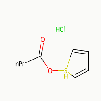 CCCC(=O)O[SH]1C=CC=C1.Cl